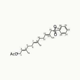 CC(=O)OC/C=C(\C)CC/C=C(\C)CC/C=C(\C)CS(=O)(=O)c1ccccc1